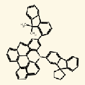 CC1(C)c2ccccc2-c2cccc(-c3cccc(N(c4ccc5c(c4)C4(CCCC4)c4ccccc4-5)c4ccccc4-c4cccc5cccc(-c6ccccc6)c45)c3)c21